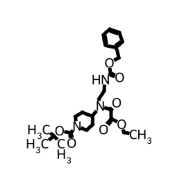 CCOC(=O)C(=O)N(CCNC(=O)OCc1ccccc1)C1CCN(C(=O)OC(C)(C)C)CC1